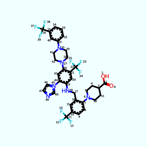 O=C(O)C1CCN(c2ccc(C(F)(F)F)cc2CNc2cc(C(F)(F)F)c(N3CCN(c4cccc(C(F)(F)F)c4)CC3)cc2-n2ccnc2)CC1